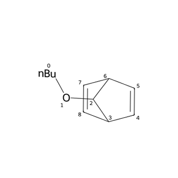 CCCCOC1C2C=CC1C=C2